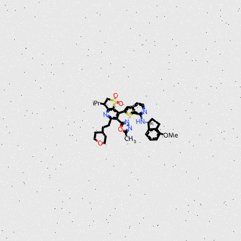 COc1cccc2c1CC[C@H]2Nc1nccc2cc(-c3c(-c4nnc(C)o4)c(CCC4CCOCC4)nc4c3S(=O)(=O)CC4C(C)C)sc12